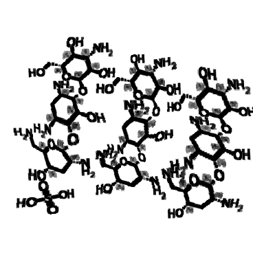 NC[C@H]1O[C@H](O[C@H]2[C@H](O)[C@@H](O[C@H]3O[C@H](CO)[C@@H](O)[C@H](N)[C@H]3O)[C@H](N)C[C@@H]2N)[C@H](N)C[C@@H]1O.NC[C@H]1O[C@H](O[C@H]2[C@H](O)[C@@H](O[C@H]3O[C@H](CO)[C@@H](O)[C@H](N)[C@H]3O)[C@H](N)C[C@@H]2N)[C@H](N)C[C@@H]1O.NC[C@H]1O[C@H](O[C@H]2[C@H](O)[C@@H](O[C@H]3O[C@H](CO)[C@@H](O)[C@H](N)[C@H]3O)[C@H](N)C[C@@H]2N)[C@H](N)C[C@@H]1O.O=S(=O)(O)O